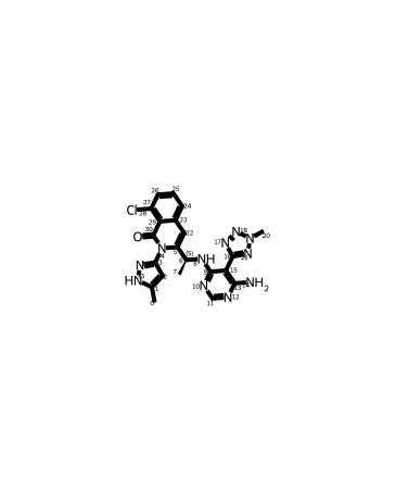 Cc1cc(-n2c([C@H](C)Nc3ncnc(N)c3-c3nnn(C)n3)cc3cccc(Cl)c3c2=O)n[nH]1